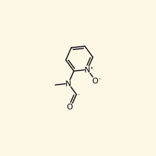 CN([C]=O)c1cccc[n+]1[O-]